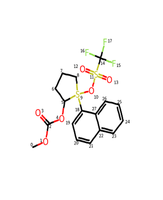 COC(=O)OC1CCCS1(OS(=O)(=O)C(F)(F)F)c1cccc2ccccc12